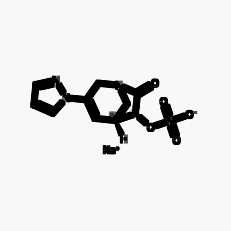 O=C1N2CC(n3cccn3)=C[C@H](C2)N1OS(=O)(=O)[O-].[Na+]